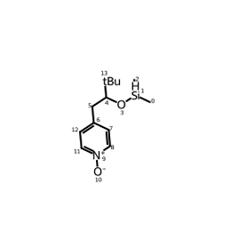 C[SiH](C)OC(Cc1cc[n+]([O-])cc1)C(C)(C)C